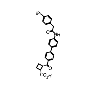 CC(C)c1ccc(CC(=O)Nc2ccc(-c3ccc(C(=O)[C@@H]4CC[C@H]4C(=O)O)cc3)cc2)cc1